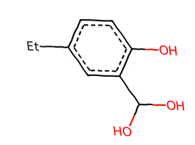 CCc1ccc(O)c(C(O)O)c1